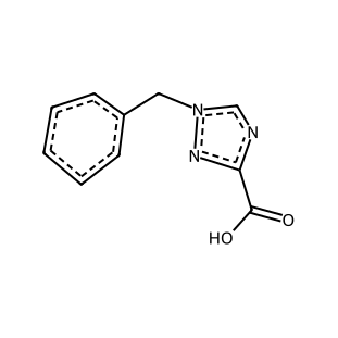 O=C(O)c1ncn(Cc2ccccc2)n1